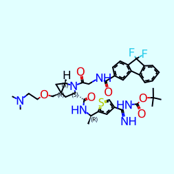 C[C@@H](NC(=O)[C@@H]1C[C@]2(COCCN(C)C)C[C@@H]2N1C(=O)CNC(=O)c1ccc2c(c1)-c1ccccc1C2(F)F)c1cc(C(=N)NC(=O)OC(C)(C)C)cs1